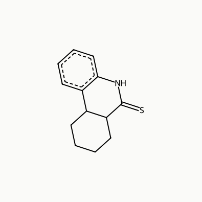 S=C1Nc2ccccc2C2CCCCC12